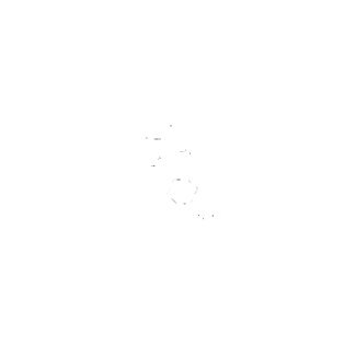 N[C@H](C(=O)O)[C@H](O)c1ccc([N+](=O)[O-])cc1